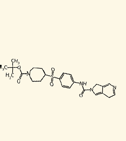 CC(C)(C)OC(=O)N1CCC(S(=O)(=O)c2ccc(NC(=O)N3C=C4CC=NC=C4C3)cc2)CC1